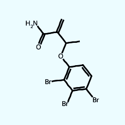 C=C(C(N)=O)C(C)Oc1ccc(Br)c(Br)c1Br